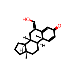 C[C@@]12CCC[C@H]1[C@@H]1C/C(=C\O)C3=CC(=O)C=C[C@]3(C)[C@H]1CC2